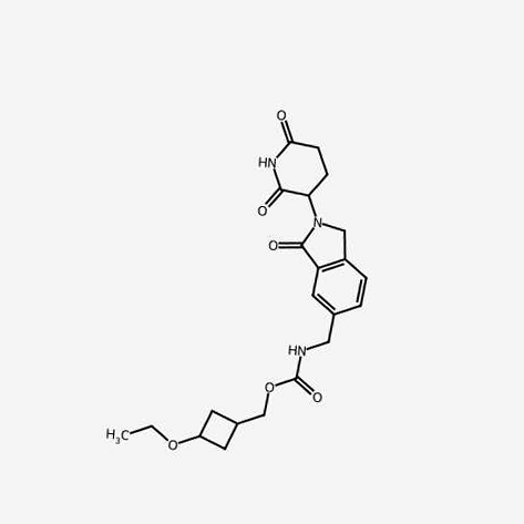 CCOC1CC(COC(=O)NCc2ccc3c(c2)C(=O)N(C2CCC(=O)NC2=O)C3)C1